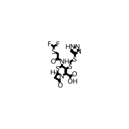 O=C(CSC(F)F)NC1S[C@@H]2CC(=O)N2C(C(=O)O)=C1SCSc1c[nH]nn1